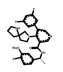 COc1cc([C@@H](C)NC(=O)c2cncc(-c3cc(F)cc(F)c3)c2N2CCC3(CCCN3)C2)ccc1F